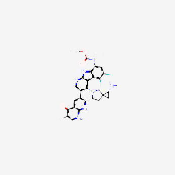 CN(C(=O)OC(C)(C)C)c1cc(F)c(F)c2c1[nH]c1ncc(-c3cnc4c(c3)c(=O)c(C(=O)O)cn4C)c(N3CCC4(C[C@@H]4N(C)C)C3)c12